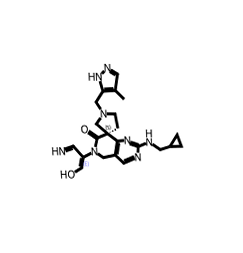 Cc1cn[nH]c1CN1CC[C@@]2(C1)C(=O)N(/C(C=N)=C/O)Cc1cnc(NCC3CC3)nc12